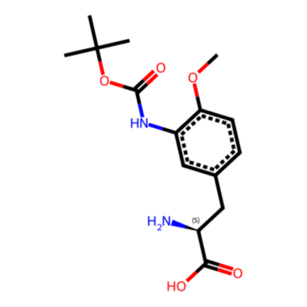 COc1ccc(C[C@H](N)C(=O)O)cc1NC(=O)OC(C)(C)C